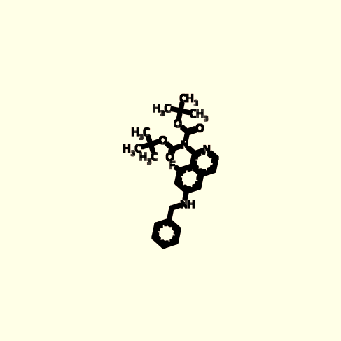 CC(C)(C)OC(=O)N(C(=O)OC(C)(C)C)c1nccc2cc(NCc3ccccc3)cc(F)c12